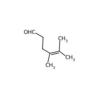 CC(C)=C(C)CCC=O